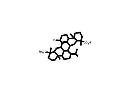 CC(C)=C1CCC2C3C(CC4C(C)(C(=O)O)CCCC24C)C2=C4C(CC5C(C)(C(=O)O)CCCC5(C)C4CCC2C(C)C)C13